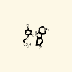 Fc1ccc2[nH]c3c(c2c1)CNCC3.O=C(O)COc1ccc(Cl)cc1Cl